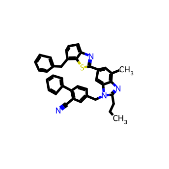 CCCc1nc2c(C)cc(-c3nc4cccc(Cc5ccccc5)c4s3)cc2n1Cc1ccc(-c2ccccc2)c(C#N)c1